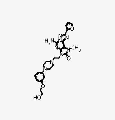 Cn1c(=O)n(CCN2CCN(c3cccc(OCCO)c3)CC2)c2nc(N)n3nc(-c4ccco4)nc3c21